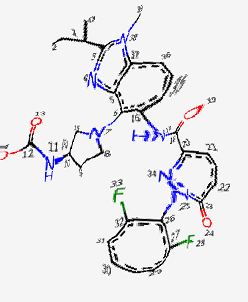 CC(C)c1nc2c(N3CC[C@@H](NC(=O)O)C3)c(NC(=O)c3ccc(=O)n(-c4c(F)cccc4F)n3)ccc2n1C